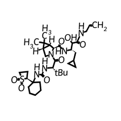 C=CCNC(=O)C(O)[C@H](CC1CC1)NC(=O)[C@@H]1[C@@H]2[C@H](CN1C(=O)[C@@H](NC(=O)NC1([C@@H]3CCS3(=O)=O)CCCCC1)C(C)(C)C)C2(C)C